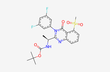 C[C@H](NC(=O)OC(C)(C)C)c1nc2cccc(S(C)(=O)=O)c2c(=O)n1-c1cc(F)cc(F)c1